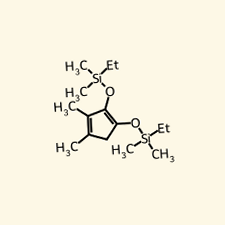 CC[Si](C)(C)OC1=C(O[Si](C)(C)CC)C(C)=C(C)C1